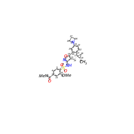 CNC(=O)c1ccc(S(=O)(=O)Nc2noc3c2C[C@@]2(C[C@@H]2C)c2ccc(N4CCC4)cc2-3)c(OC)c1